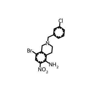 Nc1c([N+](=O)[O-])cc(Br)c2c1CCN(Cc1cccc(Cl)c1)C2